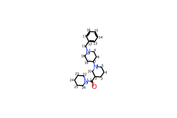 O=C(C1CCCN(C2CCN(Cc3ccccc3)CC2)C1)N1CCCCC1